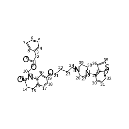 O=C(Cc1ccccc1)OCN1C(=O)CCc2ccc(OCCCCN3CCN(c4cccc5sccc45)CC3)cc21